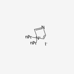 CCC[N+]1(CCC)C=CN=C1.[I-]